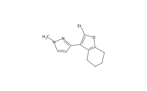 CCc1oc2c(c1-c1[c]cn(C)n1)CCCC2